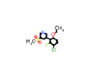 CCOc1[c]cc(Cl)c(F)c1-c1cncc(S(C)(=O)=O)c1